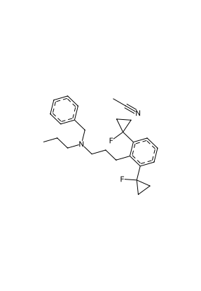 CC#N.CCCN(CCCc1c(C2(F)CC2)cccc1C1(F)CC1)Cc1ccccc1